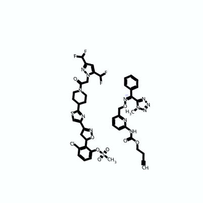 C#CCCOC(=O)Nc1cccc(CO/N=C(/c2ccccc2)c2nnnn2C)n1.CS(=O)(=O)Oc1cccc(Cl)c1C1CC(c2csc(C3CCN(C(=O)Cn4nc(C(F)F)cc4C(F)F)CC3)n2)=NO1